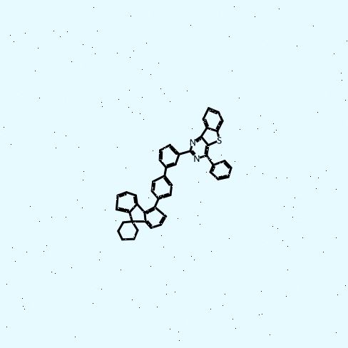 c1ccc(-c2nc(-c3cccc(-c4ccc(-c5cccc6c5-c5ccccc5C65CCCCC5)cc4)c3)nc3c2sc2ccccc23)cc1